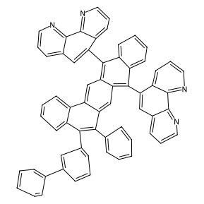 c1ccc(-c2cccc(-c3c(-c4ccccc4)c4cc5c(-c6cc7cccnc7c7ncccc67)c6ccccc6c(-c6cc7cccnc7c7ncccc67)c5cc4c4ccccc34)c2)cc1